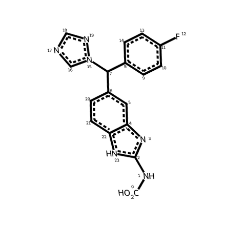 O=C(O)Nc1nc2cc(C(c3ccc(F)cc3)n3cncn3)ccc2[nH]1